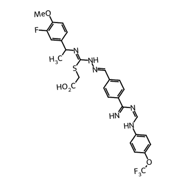 COc1ccc(C(C)/N=C(/N/N=C/c2ccc(C(=N)/N=C\Nc3ccc(OC(F)(F)F)cc3)cc2)SCC(=O)O)cc1F